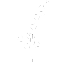 C[C@@H]1C[C@@H]2C[C@H](C)CC(c3ccc(-c4ccccc4-c4nc(-c5ccccc5)nc(-c5ccc(-c6ccc7c(c6)oc6cc(C#N)ccc67)cc5)n4)cc3)(C1)C2